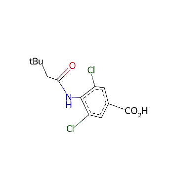 CC(C)(C)CC(=O)Nc1c(Cl)cc(C(=O)O)cc1Cl